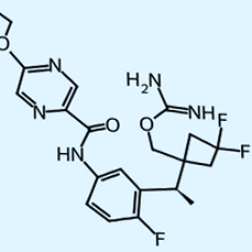 C[C@@H](c1cc(NC(=O)c2cnc(OCF)cn2)ccc1F)C1(COC(=N)N)CC(F)(F)C1